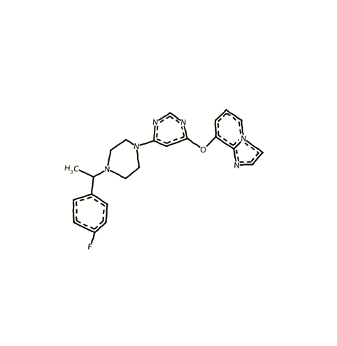 CC(c1ccc(F)cc1)N1CCN(c2cc(Oc3cccn4ccnc34)ncn2)CC1